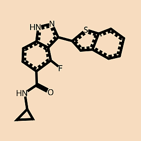 O=C(NC1CC1)c1ccc2[nH]nc(-c3cc4ccccc4s3)c2c1F